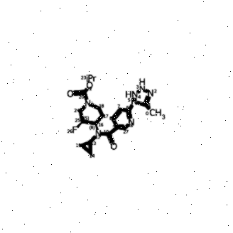 CC1=NNNN1c1ccc(C(=O)N(C2CC2)[C@@H]2CCN(C(=O)OC(C)C)C[C@@H]2F)cn1